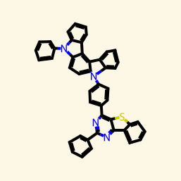 c1ccc(-c2nc(-c3ccc(-n4c5ccccc5c5c6c7ccccc7n(-c7ccccc7)c6ccc54)cc3)c3sc4ccccc4c3n2)cc1